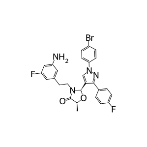 C[C@@H]1O[C@H](c2cn(-c3ccc(Br)cc3)nc2-c2ccc(F)cc2)N(CCc2cc(N)cc(F)c2)C1=O